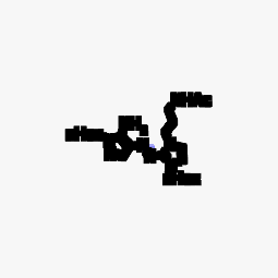 CCCCCCn1ncc(/N=N/c2n(CCCNC(C)=O)cc[n+]2CCCCCC)c1N